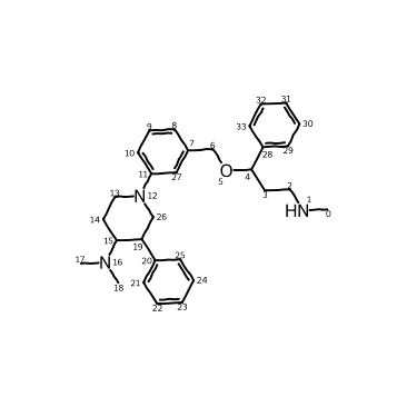 CNCCC(OCc1cccc(N2CCC(N(C)C)C(c3ccccc3)C2)c1)c1ccccc1